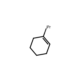 CC(C)C1=CCCCC1